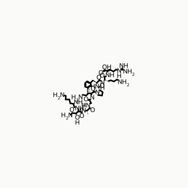 C[C@H](NC(=O)[C@@H](NC(=O)[C@@H](N)CCCCN)[C@@H](O)CN)C(=O)NCC(=O)/N=C(\CCCN)C(=O)N1CCC[C@H]1C(=O)N[C@@H](Cc1cccc(F)c1)C(=O)N[C@@H](CCCCN)C(=O)N/C(=C\CCNC(=N)N)C(=O)O